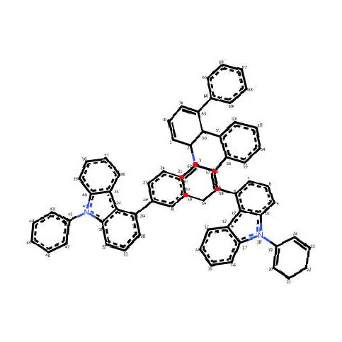 C1=CC(N(C=Cc2cccc3c2c2ccccc2n3C2=CCCC=C2)c2ccc(-c3cccc4c3c3ccccc3n4-c3ccccc3)cc2)C(c2ccccc2C2=CCCC=C2)C(c2ccccc2)=C1